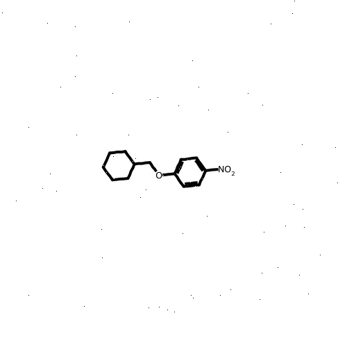 O=[N+]([O-])c1ccc(OCC2CCCCC2)cc1